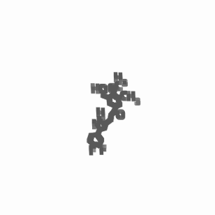 COc1c(C)cc(C(=O)/C=C/c2cc(-c3ccc(F)c(F)c3)n[nH]2)cc1CO